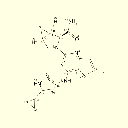 Cc1cc2nc(N3C[C@H]4C[C@H]4[C@H]3C(N)=O)nc(Nc3cc(C4CC4)[nH]n3)c2s1